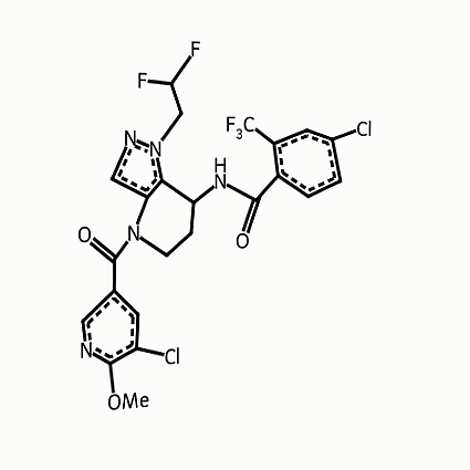 COc1ncc(C(=O)N2CCC(NC(=O)c3ccc(Cl)cc3C(F)(F)F)c3c2cnn3CC(F)F)cc1Cl